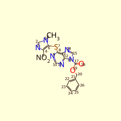 Cn1cnc([N+](=O)[O-])c1Sc1ncnc2c1ncn2C(=O)OCc1ccccc1